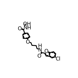 O=C(NO)c1ccc(OCCCCNC(=O)c2cc3cc(Cl)ccc3o2)cc1